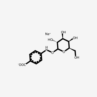 O=C([O-])c1ccc(NOC2O[C@H](CO)[C@H](O)[C@H](O)[C@H]2O)cc1.[Na+]